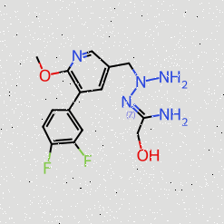 COc1ncc(CN(N)/N=C(\N)CO)cc1-c1ccc(F)c(F)c1